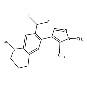 Cc1c(-c2cc3c(cc2C(F)F)N(C(C)C)CCC3)cnn1C